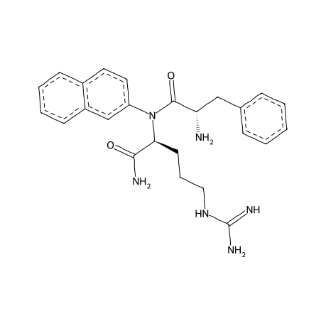 N=C(N)NCCC[C@@H](C(N)=O)N(C(=O)[C@@H](N)Cc1ccccc1)c1ccc2ccccc2c1